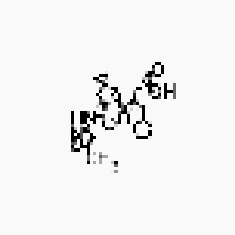 Cc1cc(NC(=O)[C@@H]2CC3(CC3)CN2C(=O)[C@H](CC2CCCC2)CN(O)C=O)no1